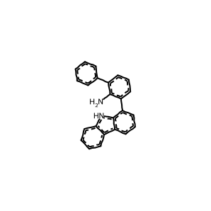 Nc1c(-c2ccccc2)cccc1-c1cccc2c1[nH]c1ccccc12